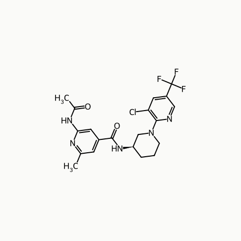 CC(=O)Nc1cc(C(=O)N[C@@H]2CCCN(c3ncc(C(F)(F)F)cc3Cl)C2)cc(C)n1